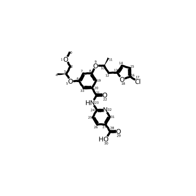 COC[C@H](C)Oc1cc(O[C@@H](C)Cc2ccc(Cl)o2)cc(C(=O)Nc2ccc(C(=O)O)cn2)c1